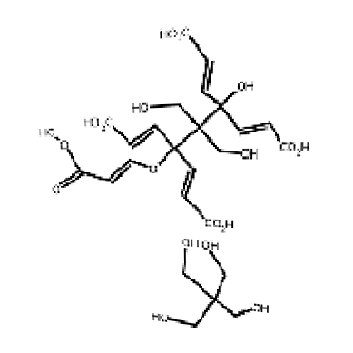 O=C(O)C=CC(O)(C=CC(=O)O)C(CO)(CO)C(C=CC(=O)O)(C=CC(=O)O)OC=CC(=O)OO.OCC(CO)(CO)CO